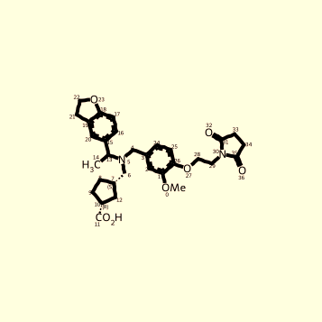 COc1cc(CN(C[C@H]2CC[C@@H](C(=O)O)C2)C(C)c2ccc3c(c2)CCO3)ccc1OCCN1C(=O)CCC1=O